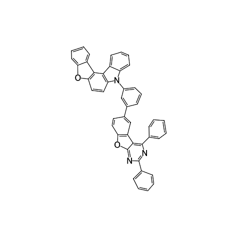 c1ccc(-c2nc(-c3ccccc3)c3c(n2)oc2ccc(-c4cccc(-n5c6ccccc6c6c7c(ccc65)oc5ccccc57)c4)cc23)cc1